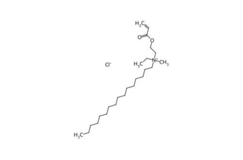 C=CC(=O)OCC[N+](C)(CC)CCCCCCCCCCCCCCCC.[Cl-]